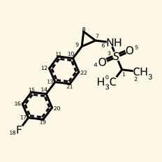 CC(C)S(=O)(=O)NC1CC1c1ccc(-c2ccc(F)cc2)cc1